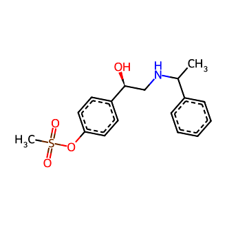 CC(NC[C@H](O)c1ccc(OS(C)(=O)=O)cc1)c1ccccc1